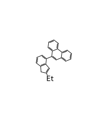 CCC1=Cc2c(cccc2-c2cc3ccccc3c3ccccc23)C1